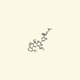 COn1c(=O)c(-c2c(Cl)cccc2Cl)cc2c(N)nc(-c3cc(C(=O)NCCN(C)C)n(C)c3)nc21